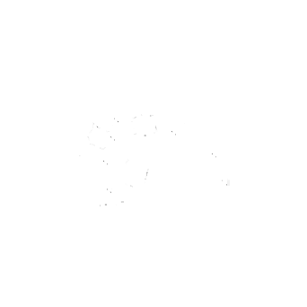 COc1cc(N2CCC(CN3CCNCC3)CC2)ccc1Nc1ncc(Cl)c(NC2=CCC=CC=C2N(C)S(C)(=O)=O)n1